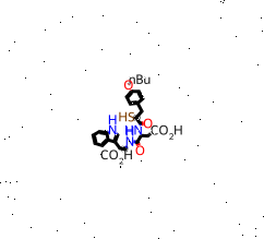 CCCCOc1ccc(C[C@H](S)C(=O)NC(CC(=O)O)C(=O)N[C@@H](Cc2c[nH]c3ccccc23)C(=O)O)cc1